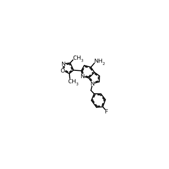 Cc1noc(C)c1-c1cc(N)c2ccn(Cc3ccc(F)cc3)c2n1